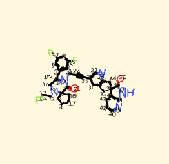 C[C@@]1(c2cc(F)cc(F)c2)CN(CCF)C2(CCCC2)C(=O)N1CC#Cc1cnc2c(c1)C[C@@]1(C2)C(=O)Nc2ncccc21